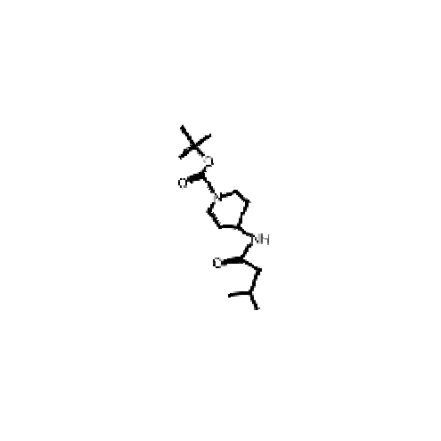 CC(C)CC(=O)NC1CCN(C(=O)OC(C)(C)C)CC1